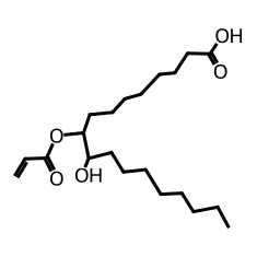 C=CC(=O)OC(CCCCCCCC(=O)O)C(O)CCCCCCCC